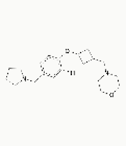 Clc1cc(CN2CCCC2)ccc1OC1CC(CN2CCOCC2)C1